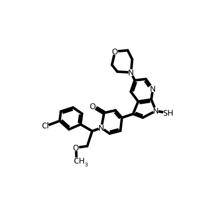 COCC(c1cccc(Cl)c1)n1ccc(-c2cn(S)c3ncc(N4CCOCC4)cc23)cc1=O